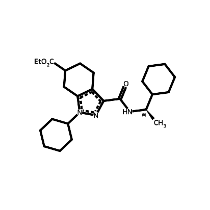 CCOC(=O)C1CCc2c(C(=O)N[C@H](C)C3CCCCC3)nn(C3CCCCC3)c2C1